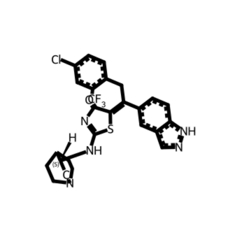 O=C1N=C(N[C@@H]2CN3CCC2CC3)SC1=C(Cc1ccc(Cl)cc1C(F)(F)F)c1ccc2[nH]ncc2c1